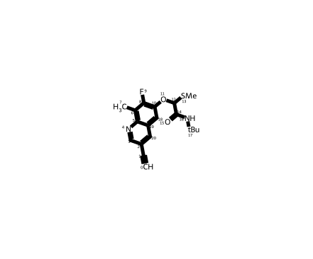 C#Cc1cnc2c(C)c(F)c(OC(SC)C(=O)NC(C)(C)C)cc2c1